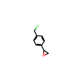 ClCc1ccc(C2CO2)cc1